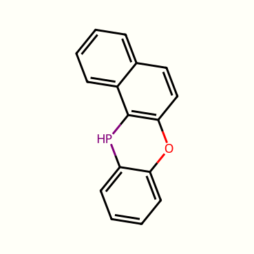 c1ccc2c(c1)Oc1ccc3ccccc3c1P2